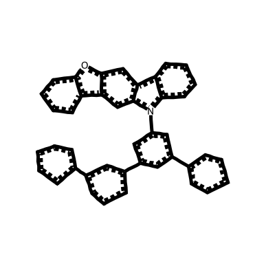 c1ccc(-c2cccc(-c3cc(-c4ccccc4)cc(-n4c5ccccc5c5cc6oc7ccccc7c6cc54)c3)c2)cc1